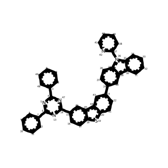 c1ccc(-c2nc(-c3ccccc3)nc(-c3ccc4sc5ccc(-c6ccc7c(c6)c6ccccc6n7-c6ccccn6)cc5c4c3)n2)cc1